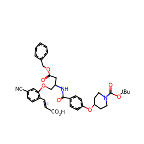 CC(C)(C)OC(=O)N1CCC(Oc2ccc(C(=O)NC(COc3cc(C#N)ccc3/C=C/C(=O)O)CC(=O)OCc3ccccc3)cc2)CC1